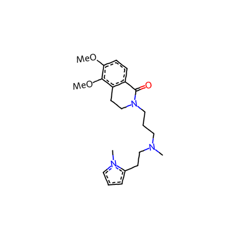 COc1ccc2c(c1OC)CCN(CCCN(C)CCc1cccn1C)C2=O